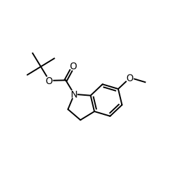 COc1ccc2c(c1)N(C(=O)OC(C)(C)C)CC2